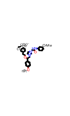 CCCOc1ccc(C(Cn2cc[n+](CC(=O)Nc3cccc(OC)c3)c2)OCCc2ccc(C#N)cc2)cc1.O=C([O-])CCC(=O)O